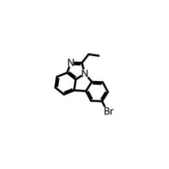 CCc1nc2cccc3c4cc(Br)ccc4n1c23